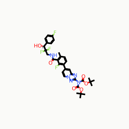 Cc1ccc(-c2ccn3nc(N(C(=O)OC(C)(C)C)C(=O)OC(C)(C)C)nc3c2)c(F)c1C(=O)NCC(F)(F)[C@@H](O)c1ccc(F)cc1